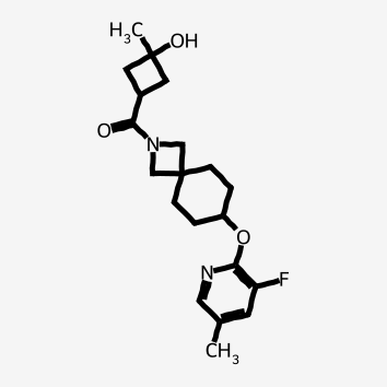 Cc1cnc(OC2CCC3(CC2)CN(C(=O)C2CC(C)(O)C2)C3)c(F)c1